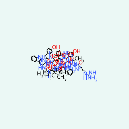 CC[C@H](C)[C@H](NC(=O)[C@H](Cc1c[nH]c2ccccc12)NC(=O)[C@H](Cc1ccccc1)NC(=O)[C@H](Cc1ccc(O)cc1)NC(=O)[C@H](C)NC(=O)[C@@H](N)CCCNC(=N)N)C(=O)N[C@@H](C)C(=O)N[C@@H](Cc1c[nH]c2ccccc12)C(=O)N[C@@H](Cc1ccc(O)cc1)C(=O)N[C@@H](CCCCN)C(=O)N[C@@H](CC(C)C)C(=O)N[C@@H](C)C(=O)N[C@@H](CC(N)=O)C(=O)N[C@@H](CO)C(=O)N[C@@H](CCCCN)C(=O)O